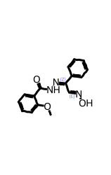 COc1ccccc1C(=O)N/N=C(\C=N\O)c1ccccc1